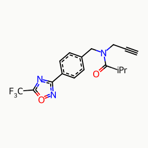 C#CCN(Cc1ccc(-c2noc(C(F)(F)F)n2)cc1)C(=O)C(C)C